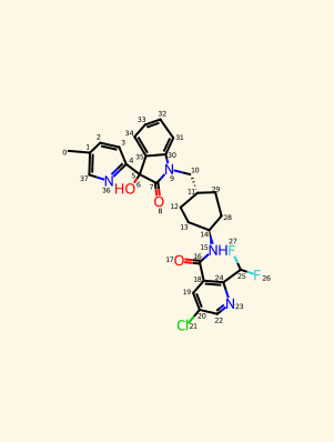 Cc1ccc(C2(O)C(=O)N(C[C@H]3CC[C@H](NC(=O)c4cc(Cl)cnc4C(F)F)CC3)c3ccccc32)nc1